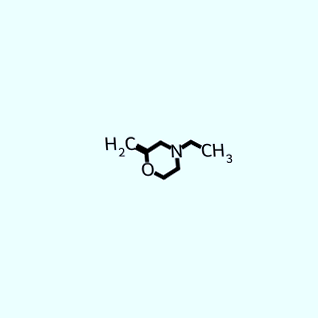 C=C1CN(CC)CCO1